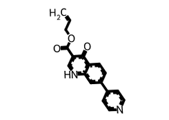 C=CCOC(=O)c1c[nH]c2cc(-c3ccncc3)ccc2c1=O